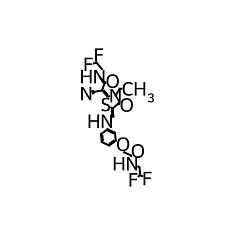 CCn1c(=C(C#N)C(=O)NCC(F)F)sc(=CNc2cccc(OCC(=O)NCC(F)F)c2)c1=O